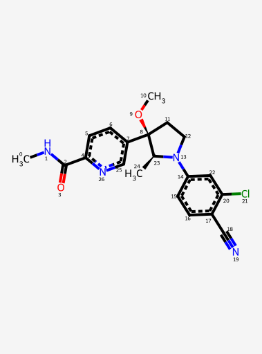 CNC(=O)c1ccc([C@]2(OC)CCN(c3ccc(C#N)c(Cl)c3)[C@H]2C)cn1